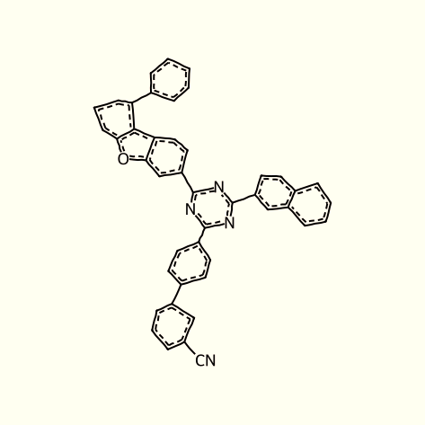 N#Cc1cccc(-c2ccc(-c3nc(-c4ccc5ccccc5c4)nc(-c4ccc5c(c4)oc4cccc(-c6ccccc6)c45)n3)cc2)c1